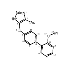 CC(=O)c1nn[nH]c1Oc1ccc(-c2ccccc2OC(C)C)cc1